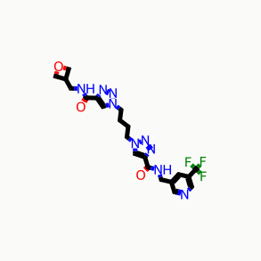 O=C(NCc1cncc(C(F)(F)F)c1)c1cn(CCCCn2cc(C(=O)NCC3COC3)nn2)nn1